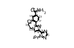 CC(C)n1ncnc1-c1cn2c(n1)-c1ccc(C(N)=O)cc1OCC2